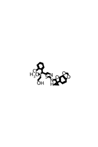 CN(CCO)C(c1cnc(NC(=O)C2(c3ccc4c(c3)OCO4)CC2)s1)c1ccccc1Cl